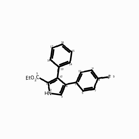 CCOC(=O)c1[nH]cc(-c2ccc(F)cc2)c1-c1ccccc1